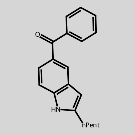 CCCCCc1cc2cc(C(=O)c3ccccc3)ccc2[nH]1